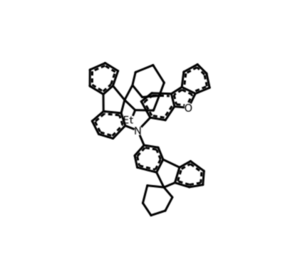 CCC1CC2CCCC(C2)C12c1ccccc1-c1cccc(N(c3ccc4c(c3)-c3ccccc3C43CCCCC3)c3ccc4c(c3)oc3ccccc34)c12